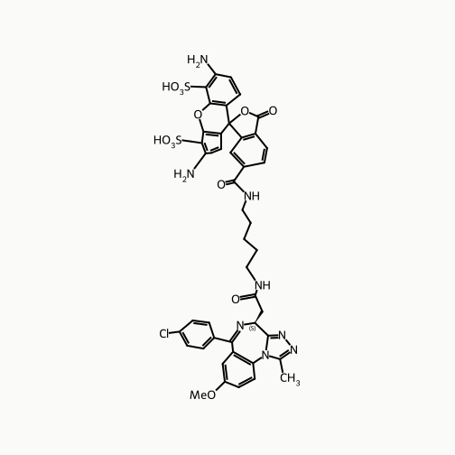 COc1ccc2c(c1)C(c1ccc(Cl)cc1)=N[C@@H](CC(=O)NCCCCCNC(=O)c1ccc3c(c1)C1(OC3=O)c3ccc(N)c(S(=O)(=O)O)c3Oc3c1ccc(N)c3S(=O)(=O)O)c1nnc(C)n1-2